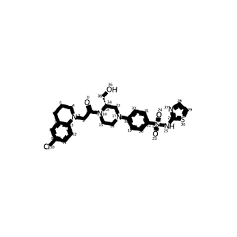 O=C(CN1CCCc2cc(Cl)ccc21)N1CCN(c2ccc(S(=O)(=O)Nc3nccs3)cc2)C[C@H]1CO